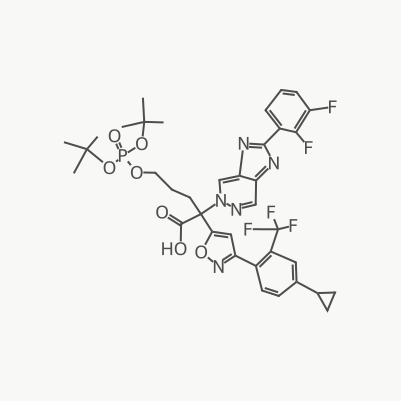 CC(C)(C)OP(=O)(OCCCC(C(=O)O)(c1cc(-c2ccc(C3CC3)cc2C(F)(F)F)no1)n1cc2nc(-c3cccc(F)c3F)nc-2cn1)OC(C)(C)C